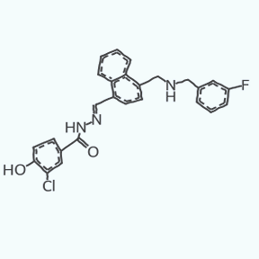 O=C(N/N=C/c1ccc(CNCc2cccc(F)c2)c2ccccc12)c1ccc(O)c(Cl)c1